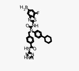 Bc1cc(F)c2sc(NC(=O)N(Cc3ccc(C(=O)Nc4nn[nH]n4)cc3)c3ccc(C4CCCCC4)cc3)nc2c1